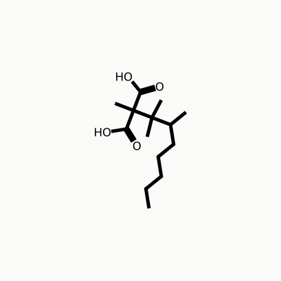 CCCCCC(C)C(C)(C)C(C)(C(=O)O)C(=O)O